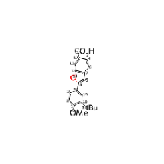 COc1ccc(-c2cc3ccc(C(=O)O)cc3o2)cc1C(C)(C)C